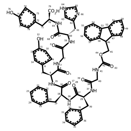 O=C(CNC(=O)[C@H](Cc1ccc(O)cc1)NC(=O)[C@H](Cc1ccccc1)NC(=O)[C@H](Cc1ccccc1)NC(=O)CNC(=O)OCC1c2ccccc2-c2ccccc21)N[C@@H](Cc1c[nH]cn1)C(=O)N[C@@H](Cc1ccc(O)cc1)C(=O)O